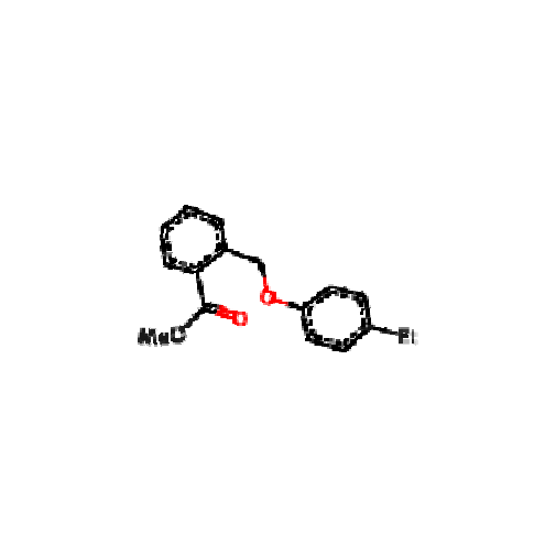 CCc1ccc(OCc2ccccc2C(=O)OC)cc1